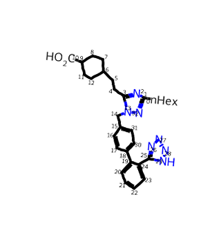 CCCCCCc1nc(CCC2CCC(C(=O)O)CC2)n(Cc2ccc(-c3ccccc3-c3nnn[nH]3)cc2)n1